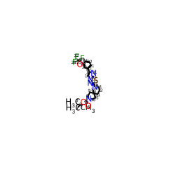 CC(C)(C)OC(=O)N1CCC2(CCCN(c3nn4cc(-c5cccc(OC(F)(F)F)c5)nc4s3)C2)CC1